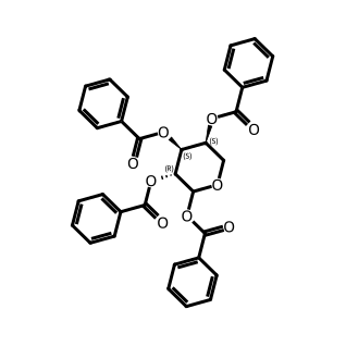 O=C(OC1OC[C@H](OC(=O)c2ccccc2)[C@H](OC(=O)c2ccccc2)[C@H]1OC(=O)c1ccccc1)c1ccccc1